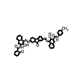 Cc1ccc(NC(=O)c2cc3ccccc3c(N=Nc3ccc4c(c3)C(=O)c3cc(N=Nc5c(O)c(NC(=O)c6ccccc6Cl)cc6ccccc56)ccc3-4)c2O)cc1